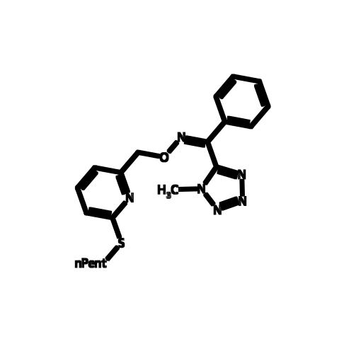 CCCCCSc1cccc(CON=C(c2ccccc2)c2nnnn2C)n1